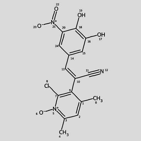 Cc1cc(C)[n+]([O-])c(Cl)c1C(C#N)=Cc1cc(O)c(O)c([N+](=O)[O-])c1